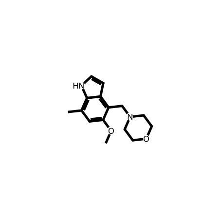 COc1cc(C)c2[nH]ccc2c1CN1CCOCC1